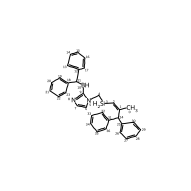 CC(=C[SiH2]Cn1ccnc1BC(c1ccccc1)c1ccccc1)C(c1ccccc1)c1ccccc1